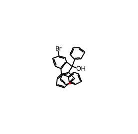 OC(c1ccccc1)(c1ccccc1)c1cc(Br)ccc1-c1cccc2ccccc12